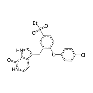 CCS(=O)(=O)c1ccc(Oc2ccc(Cl)cc2)c(Cc2c[nH]c3c(=O)[nH]ccc23)c1